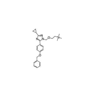 C[Si](C)(C)CCOCn1nc(C2CC2)nc1-c1ccc(OCc2ccccc2)cc1